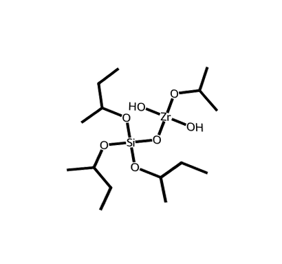 CCC(C)O[Si](OC(C)CC)(OC(C)CC)[O][Zr]([OH])([OH])[O]C(C)C